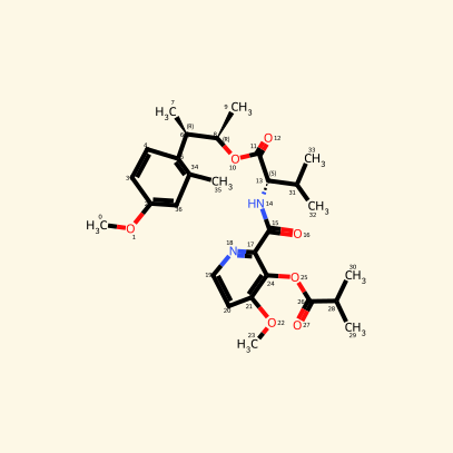 COc1ccc([C@@H](C)[C@@H](C)OC(=O)[C@@H](NC(=O)c2nccc(OC)c2OC(=O)C(C)C)C(C)C)c(C)c1